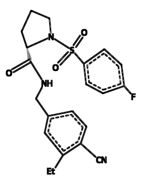 CCc1cc(CNC(=O)[C@@H]2CCCN2S(=O)(=O)c2ccc(F)cc2)ccc1C#N